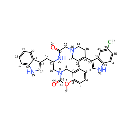 COc1ccccc1CN(C[C@@H](Cc1c[nH]c2ccccc12)NC(=O)CN1CC=C(c2c[nH]c3ccc(Cl)cc23)CC1)C(C)=O